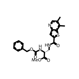 COC(=O)[C@@H](CNC(=O)c1cc2ncc(C)c(C)c2s1)NC(=O)OCc1ccccc1